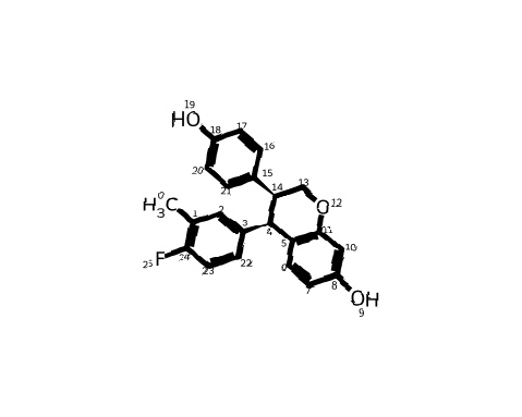 Cc1cc([C@@H]2c3ccc(O)cc3OC[C@@H]2c2ccc(O)cc2)ccc1F